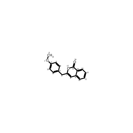 COc1ccc(Cc2cc3ccccc3c(=O)o2)cc1